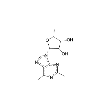 Cc1nc(C)c2ncn([C@@H]3O[C@H](C)[C@H](O)C3O)c2n1